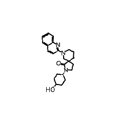 O=C1N(C2CCC(O)CC2)CCC12CCCN(c1ccc3ccccc3n1)C2